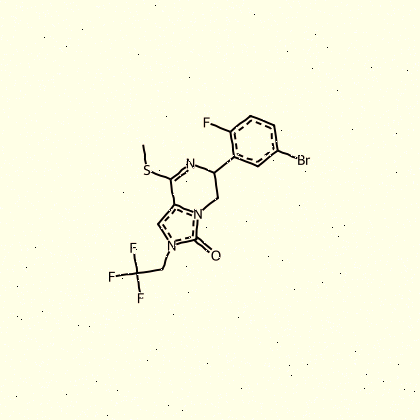 CSC1=NC(c2cc(Br)ccc2F)Cn2c1cn(CC(F)(F)F)c2=O